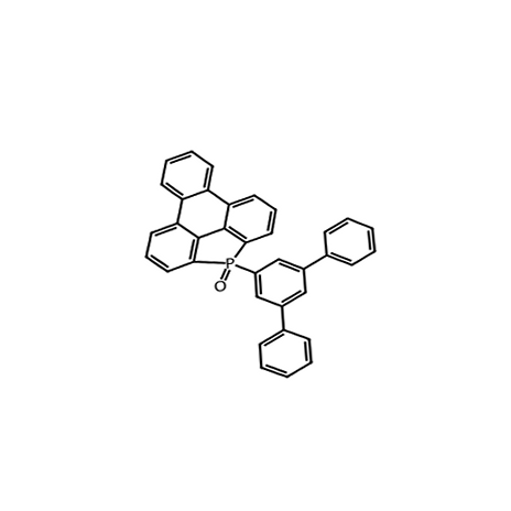 O=P1(c2cc(-c3ccccc3)cc(-c3ccccc3)c2)c2cccc3c4ccccc4c4cccc1c4c23